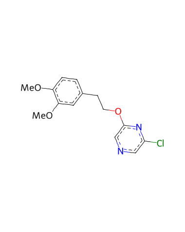 COc1ccc(CCOc2cncc(Cl)n2)cc1OC